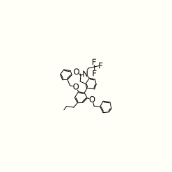 CCCc1cc(OCc2ccccc2)c(-c2cccc3c2CC(=O)N3CC(F)(F)F)c(OCc2ccccc2)c1